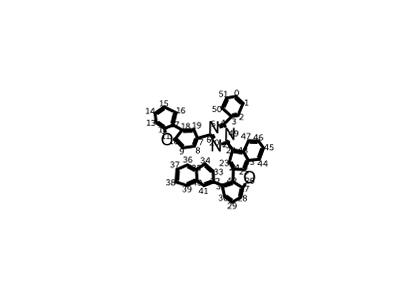 c1ccc(-c2nc(-c3ccc4oc5ccccc5c4c3)nc(-c3cc4c(oc5cccc(-c6ccc7ccccc7c6)c54)c4ccccc34)n2)cc1